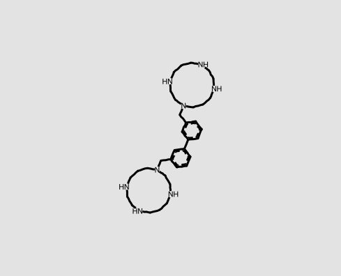 c1cc(CN2CCCNCCNCCCNCC2)cc(-c2cccc(CN3CCCNCCNCCCNCC3)c2)c1